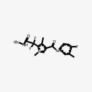 Cc1cc(NC(=O)c2cn(C)c(C(F)(F)C(=O)NC(C)(C)C)c2C)ccc1F